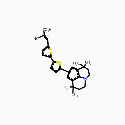 CC1(C)CCN2CCC(C)(C)c3cc(-c4ccc(-c5ccc(/C=C(\C#N)C(=O)O)s5)s4)cc1c32